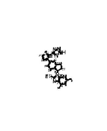 CCc1nc2c(C)cc(C)nc2n1C1CCc2cc(-c3ccsc3-c3nn[nH]n3)ccc21